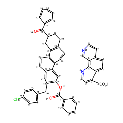 O=C(O)c1ccnc2c1ccc1ccncc12.O=C(Oc1cc2c(ccc3c4c(ccc32)CCC(C(=O)c2ccccc2)C4)cc1Cc1ccc(Cl)cc1)c1ccccc1